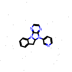 c1cncc(N2c3nccnc3N3c4ccccc4CC23)c1